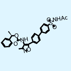 CC(=O)NS(=O)(=O)c1ccc(-c2ccc(-c3onc(C)c3NC(=O)O[C@H](C)c3ccccc3)cc2)cc1